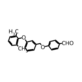 Cc1cccc(C)c1Oc1cccc(COc2ccc(C=O)cc2)c1